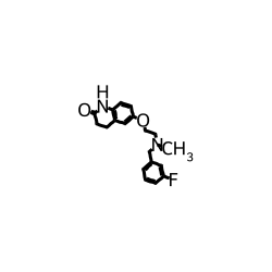 CN(CCOc1ccc2c(c1)CCC(=O)N2)Cc1cccc(F)c1